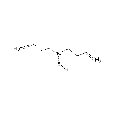 C=CCCN(CCC=C)SI